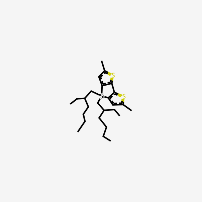 CCCCC(CC)C[Si]1(CC(CC)CCCC)c2cc(C)sc2-c2sc(C)cc21